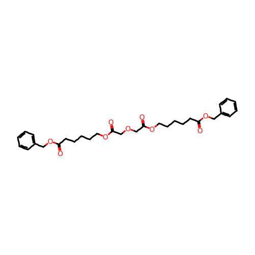 O=C(CCCCCOC(=O)COCC(=O)OCCCCCC(=O)OCc1ccccc1)OCc1ccccc1